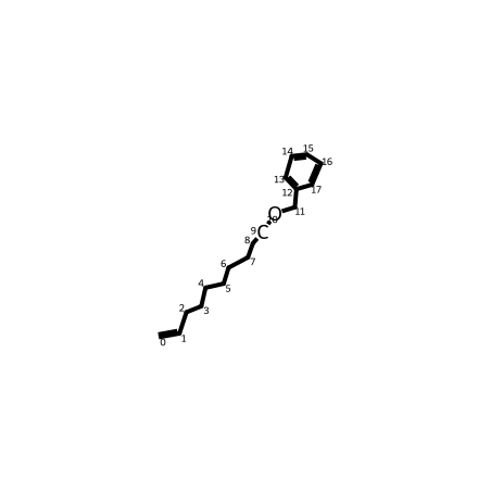 C=CCCCCCCCCOCc1ccccc1